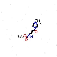 CN1CCN(C(=O)CCCNC(=O)OC(C)(C)C)CC1